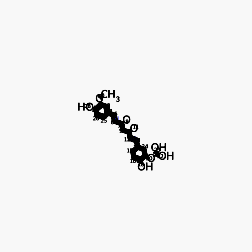 COc1cc(/C=C/C(=O)CC(=O)/C=C/C2CC=C(O)C(OC(O)O)C2)ccc1O